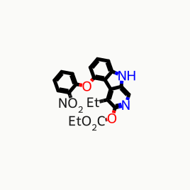 CCOC(=O)Oc1ncc2[nH]c3cccc(Oc4ccccc4[N+](=O)[O-])c3c2c1CC